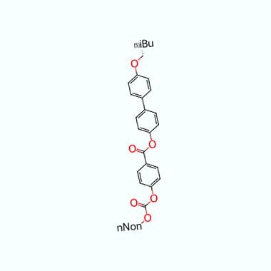 CCCCCCCCCOC(=O)Oc1ccc(C(=O)Oc2ccc(-c3ccc(OC[C@@H](C)CC)cc3)cc2)cc1